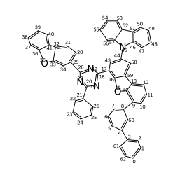 c1ccc(-c2cccc(-c3cccc4c3oc3c(-c5nc(-c6ccccc6)nc(-c6ccc7c(c6)oc6ccccc67)n5)cc(-n5c6ccccc6c6ccccc65)cc34)c2)cc1